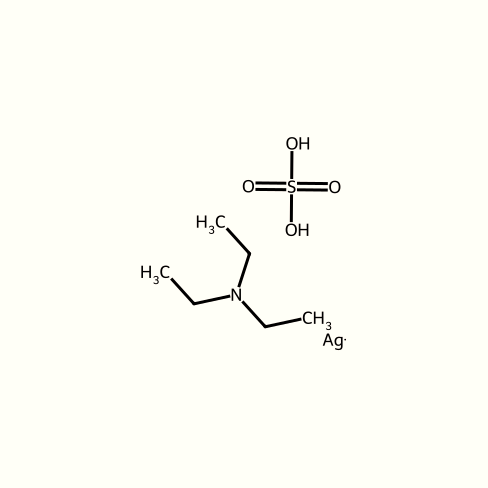 CCN(CC)CC.O=S(=O)(O)O.[Ag]